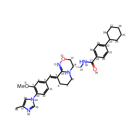 COc1cc(/C=C2\CCCN3C2=NOC[C@@H]3CNC(=O)c2ccc(C3CCCCC3)cc2)ccc1-n1cnc(C)c1